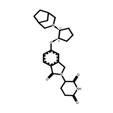 O=C1CCC(N2Cc3cc(O[C@@H]4CCC[C@@H]4N4CC5CCC(C5)C4)ccc3C2=O)C(=O)N1